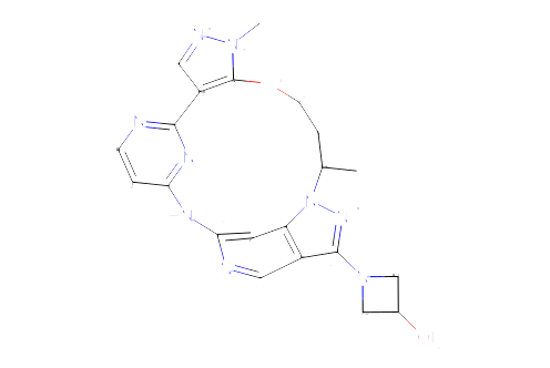 CC1CCOc2c(cnn2C)-c2nccc(n2)Nc2cc3c(cn2)c(N2CC(O)C2)nn31